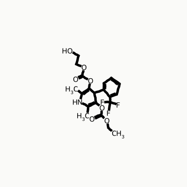 CCOC(=O)OC1=C(C)NC(C)=C(OC(=O)OCCO)C1c1ccccc1C(F)(F)F